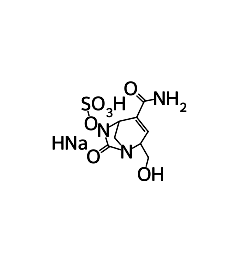 NC(=O)C1=CC(CO)N2CC1N(OS(=O)(=O)O)C2=O.[NaH]